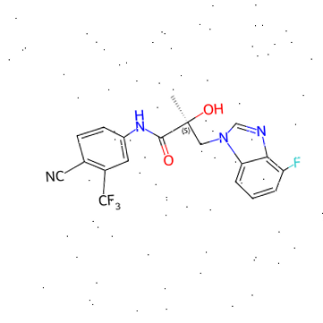 C[C@](O)(Cn1cnc2c(F)cccc21)C(=O)Nc1ccc(C#N)c(C(F)(F)F)c1